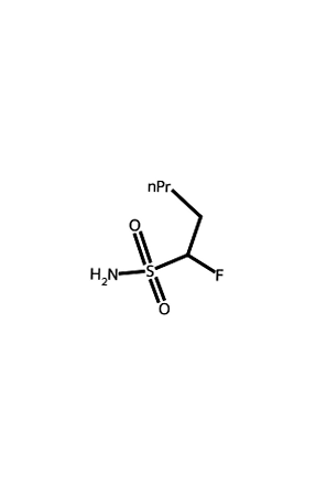 CCCCC(F)S(N)(=O)=O